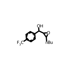 CCCCC1OC1C(O)c1ccc(C(F)(F)F)cc1